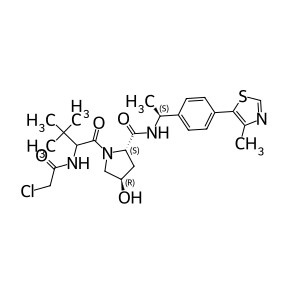 Cc1ncsc1-c1ccc([C@H](C)NC(=O)[C@@H]2C[C@@H](O)CN2C(=O)C(NC(=O)CCl)C(C)(C)C)cc1